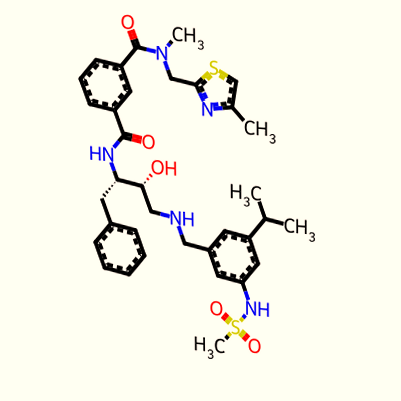 Cc1csc(CN(C)C(=O)c2cccc(C(=O)N[C@@H](Cc3ccccc3)[C@H](O)CNCc3cc(NS(C)(=O)=O)cc(C(C)C)c3)c2)n1